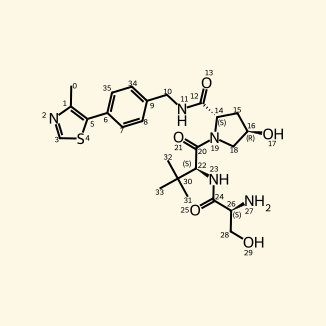 Cc1ncsc1-c1ccc(CNC(=O)[C@@H]2C[C@@H](O)CN2C(=O)[C@@H](NC(=O)[C@@H](N)CO)C(C)(C)C)cc1